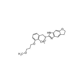 COCCCOc1cccc(C[S+]([O-])c2nc3cc4c(cc3[nH]2)OCC4)c1C